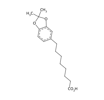 CC1(C)Oc2ccc(CCCCCCCC(=O)O)cc2O1